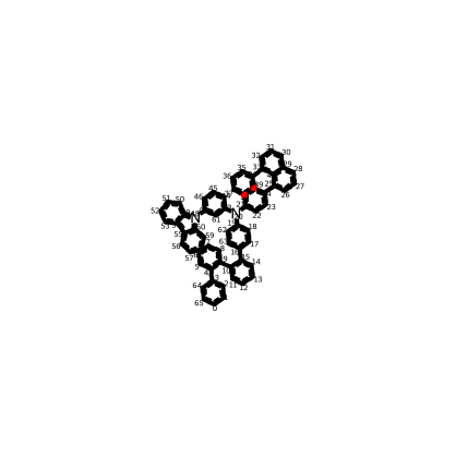 c1ccc(-c2ccccc2-c2ccccc2-c2ccc(N(c3ccc(-c4cccc5cccc(-c6ccccc6)c45)cc3)c3cccc(-n4c5ccccc5c5ccccc54)c3)cc2)cc1